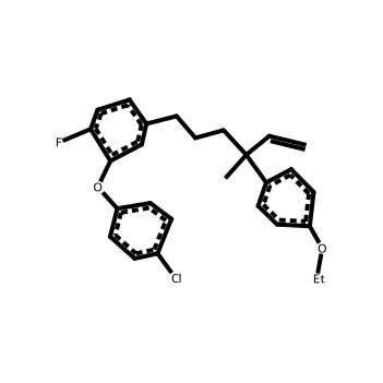 C=CC(C)(CCCc1ccc(F)c(Oc2ccc(Cl)cc2)c1)c1ccc(OCC)cc1